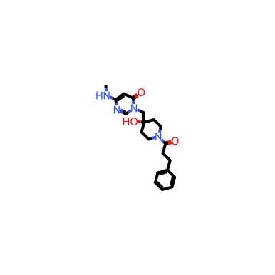 CNc1cc(=O)n(CC2(O)CCN(C(=O)CCc3ccccc3)CC2)cn1